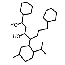 CC1CCC(C(C)C)C(C(CCCC2CCCCC2)C(O)CC(O)C2CCCCC2)C1